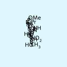 COc1ccc(CN2CCN(C3CC4(C3)CN(c3ccc(C(=O)NS(=O)(=O)c5ccc(NCC6CCC(C)(O)CC6)c([N+](=O)[O-])c5)c(Oc5cnc6[nH]cc(F)c6c5)c3)C4)[C@@H](c3ccccc3C(C)C)C2)cc1